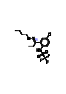 CCCCO/N=C(\CC)c1cc(Cl)ccc1NS(=O)(=O)C(F)(F)F